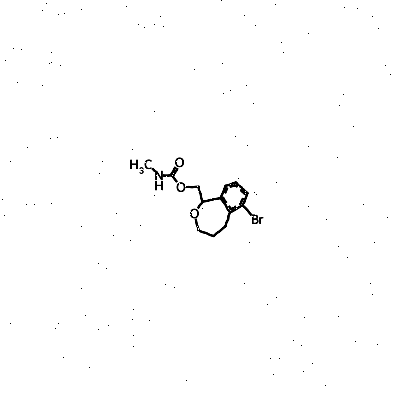 CNC(=O)OCC1OCCCc2c(Br)cccc21